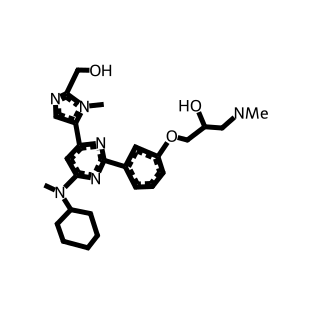 CNCC(O)COc1cccc(-c2nc(-c3cnc(CO)n3C)cc(N(C)C3CCCCC3)n2)c1